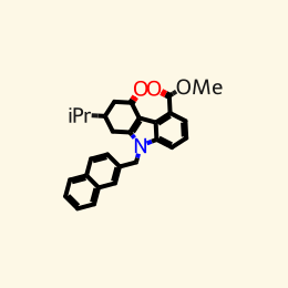 COC(=O)c1cccc2c1c1c(n2Cc2ccc3ccccc3c2)CC(C(C)C)CC1=O